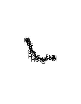 Cn1nnc(-c2ccc(-c3ccc(N4C[C@H](COCC(O)COP(=O)(O)OC[C@H]5CN(c6ccc(-c7ccc(-c8nnn(C)n8)nc7)c(F)c6)C(=O)O5)OC4=O)cc3F)cn2)n1